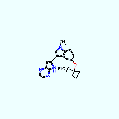 CCOC(=O)C1(Oc2ccc3c(c2)c(-c2cc4nccnc4[nH]2)cn3C)CCC1